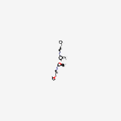 CN1CCCC1CCNC(=O)/C=C/c1ccc(Sc2ccc(/C=C/C(=O)NCCC3CCCN3C)cc2[N+](=O)[O-])c([N+](=O)[O-])c1